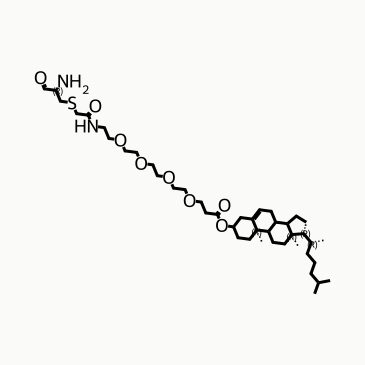 CC(C)CCC[C@@H](C)[C@H]1CCC2C3CC=C4CC(OC(=O)CCOCCOCCOCCOCCNC(=O)CSC[C@H](N)C=O)CC[C@]4(C)C3CC[C@@]21C